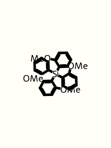 COc1ccccc1[Si](c1ccccc1OC)(c1ccccc1OC)c1ccccc1OC